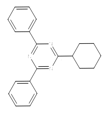 c1ccc(-c2nc(-c3ccccc3)nc(C3CCCCC3)n2)cc1